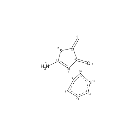 C=C1SC(N)=NC1=O.c1ccncc1